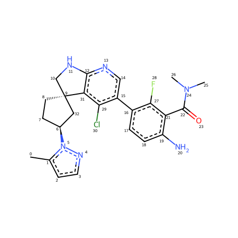 Cc1ccnn1[C@H]1CC[C@@]2(CNc3ncc(-c4ccc(N)c(C(=O)N(C)C)c4F)c(Cl)c32)C1